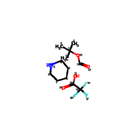 C1CCNCC1.CC(C)(C)OC=O.O=C(O)C(F)(F)F